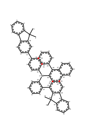 CC1(C)c2ccccc2-c2ccc(-c3ccc(N(c4ccccc4-c4cccc5c4C(C)(C)c4ccccc4-5)c4ccc5ccccc5c4-c4ccccc4)cc3)cc21